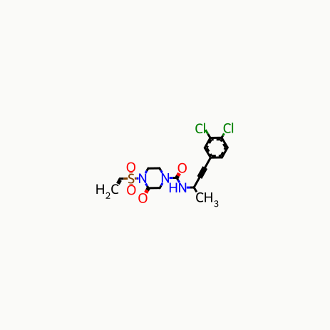 C=CS(=O)(=O)N1CCN(C(=O)NC(C)C#Cc2ccc(Cl)c(Cl)c2)CC1=O